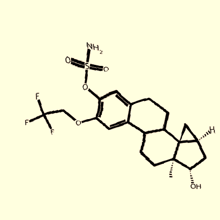 C[C@]12CCC3c4cc(OCC(F)(F)F)c(OS(N)(=O)=O)cc4CCC3[C@@]13C[C@H]3C[C@@H]2O